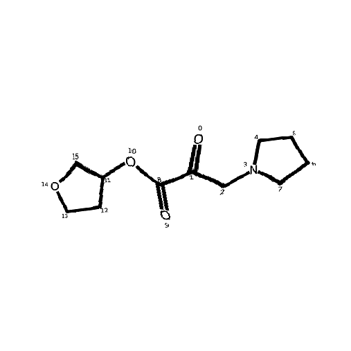 O=C(CN1CCCC1)C(=O)OC1CCOC1